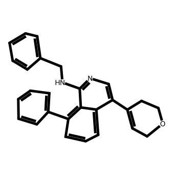 C1=C(c2cnc(NCc3ccccc3)c3c(-c4ccccc4)cccc23)CCOC1